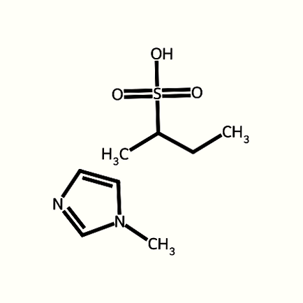 CCC(C)S(=O)(=O)O.Cn1ccnc1